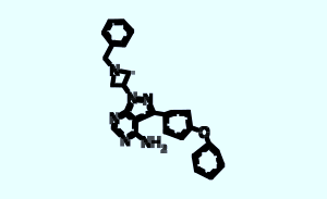 Nc1ncnc2c1c(-c1ccc(Oc3ccccc3)cc1)nn2C1[CH]N(Cc2ccccc2)C1